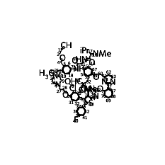 C#CCOCc1cc(NC(=O)CNC(=O)C(NC)C(C)C)ccc1C[N+]1(C)CCN(CCOc2ccc(-c3c(-c4ccc(F)cc4)sc4ncnc(OC(C=O)Cc5ccccc5OCc5ccnc(-c6ccccc6OC)n5)c34)c(C)c2Cl)CC1